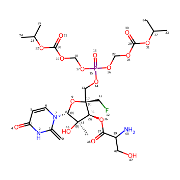 C=C1NC(=O)C=CN1[C@@H]1O[C@](CF)(COP(=O)(OCOC(=O)OC(C)C)OCOC(=O)OC(C)C)[C@@H](OC(=O)C(N)CO)[C@@]1(C)O